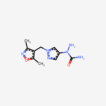 Cc1noc(C)c1Cn1cc(N(N)C(N)=O)cn1